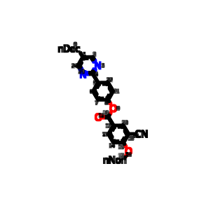 CCCCCCCCCCc1cnc(-c2ccc(OC(=O)c3ccc(OCCCCCCCCC)c(C#N)c3)cc2)nc1